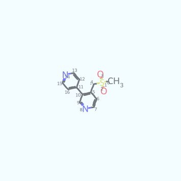 CS(=O)(=O)[CH]c1ccncc1-c1ccncc1